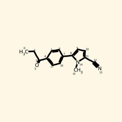 CCC(=O)c1ccc(-c2ccc(C#N)n2C)cc1